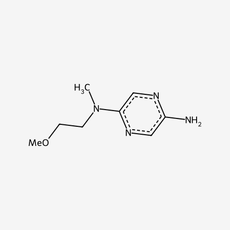 COCCN(C)c1cnc(N)cn1